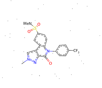 CNS(=O)(=O)c1ccc2c(c1)c1cn(C)nc1c(=O)n2-c1ccc(C(F)(F)F)cc1